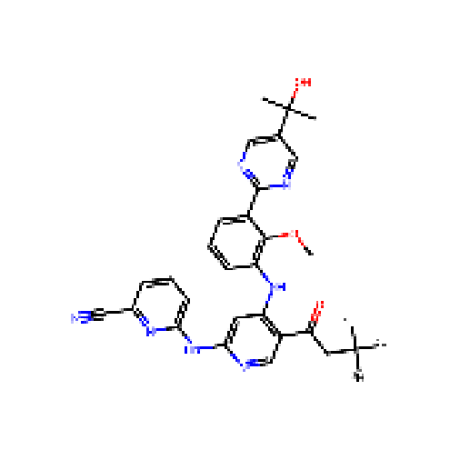 [2H]C([2H])([2H])CC(=O)c1cnc(Nc2cccc(C#N)n2)cc1Nc1cccc(-c2ncc(C(C)(C)O)cn2)c1OC